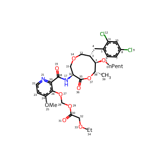 CCCCCO[C@@H]1[C@@H](Cc2ccc(Cl)cc2Cl)COC[C@H](NC(=O)c2nccc(OC)c2OCOC(=O)COCC)C(=O)O[C@H]1C